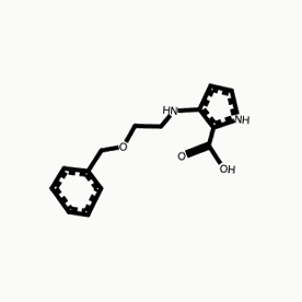 O=C(O)c1[nH]ccc1NCCOCc1ccccc1